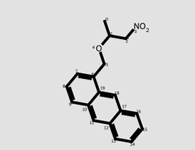 CC([CH][N+](=O)[O-])OCc1cccc2cc3ccccc3cc12